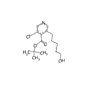 CC(C)(C)OC(=O)c1c(Cl)cncc1CCCCCO